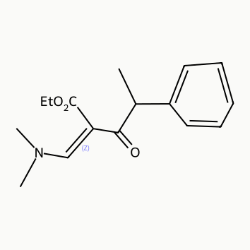 CCOC(=O)/C(=C\N(C)C)C(=O)C(C)c1ccccc1